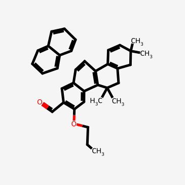 CCCOc1cc2c3c(ccc2cc1C=O)C1=C(CC(C)(C)C=C1)CC3(C)C.c1ccc2ccccc2c1